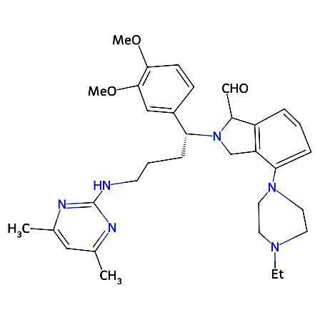 CCN1CCN(c2cccc3c2CN([C@H](CCCNc2nc(C)cc(C)n2)c2ccc(OC)c(OC)c2)C3C=O)CC1